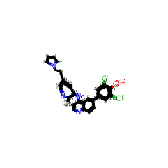 [CH2][CH]c1cnc2ccc(-c3cc(Cl)c(O)c(Cl)c3)cc2c1Nc1cc(CCN2CCCC2)cnc1C